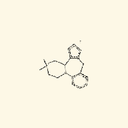 C[N+]1(C)CCN2c3ccccc3Cn3cccc3C2C1.[I-]